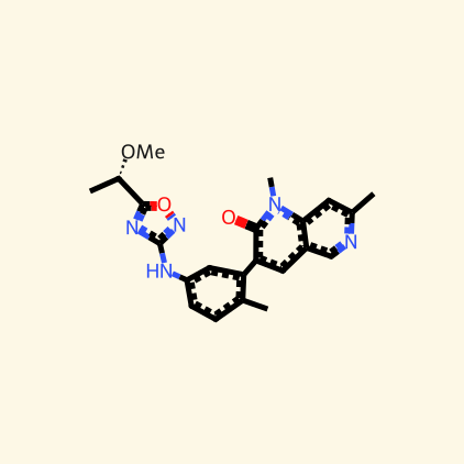 CO[C@@H](C)c1nc(Nc2ccc(C)c(-c3cc4cnc(C)cc4n(C)c3=O)c2)no1